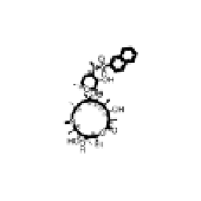 CC[C@H]1OC(=O)[C@H](C)[C@@H](O)[C@H](C)[C@@H](O[C@H]2O[C@H](C)C[C@@H](N(C)S(=O)(=O)c3ccc4ccccc4c3)[C@H]2O)[C@@](C)(O)C[C@@H](C)CN(C)[C@H](C)[C@@H](O)[C@]1(C)O